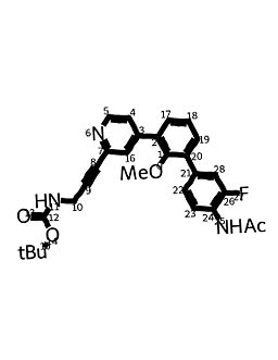 COc1c(-c2ccnc(C#CCNC(=O)OC(C)(C)C)c2)cccc1-c1ccc(NC(C)=O)c(F)c1